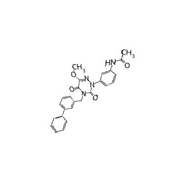 COc1nn(-c2cccc(NC(C)=O)c2)c(=O)n(Cc2cccc(-c3ccccc3)c2)c1=O